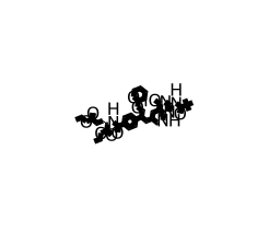 CCOC(=O)CC[C@H](NC(=O)c1ccc(C(COC2CCCCO2)CC2CNc3nc(NC(=O)C(C)(C)C)nc(O)c3C2)cc1)C(=O)OCC